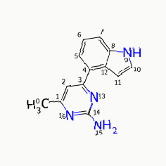 Cc1cc(-c2cccc3[nH]ccc23)nc(N)n1